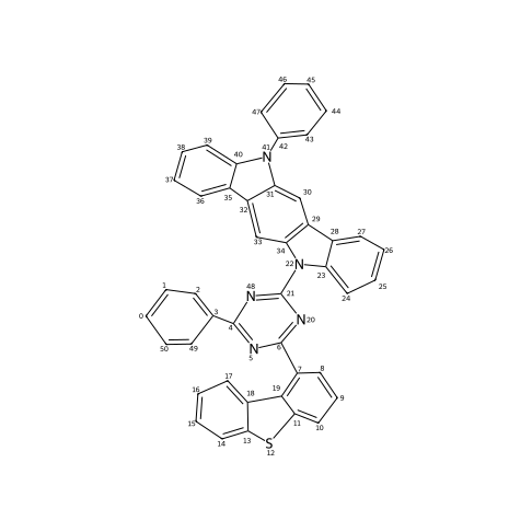 c1ccc(-c2nc(-c3cccc4sc5ccccc5c34)nc(-n3c4ccccc4c4cc5c(cc43)c3ccccc3n5-c3ccccc3)n2)cc1